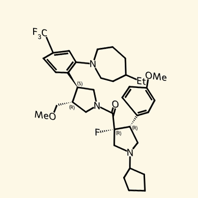 CCC1CCCN(c2cc(C(F)(F)F)ccc2[C@H]2CN(C(=O)[C@]3(F)CN(C4CCCC4)C[C@H]3c3ccc(OC)cc3)C[C@@H]2COC)CC1